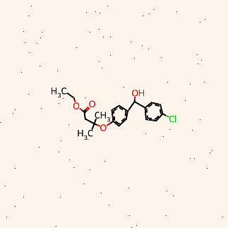 CCOC(=O)CC(C)(C)Oc1ccc(C(O)c2ccc(Cl)cc2)cc1